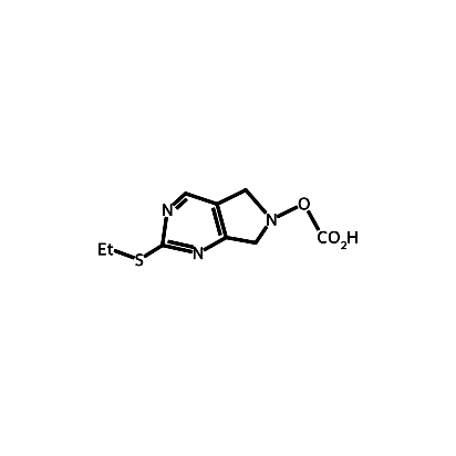 CCSc1ncc2c(n1)CN(OC(=O)O)C2